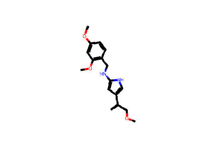 COCC(C)c1c[nH]c(NCc2ccc(OC)cc2OC)c1